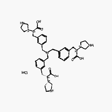 Cl.O=C(O)[C@@H](Cc1cccc(CN(Cc2cccc(C[C@H](C(=O)O)[C@H]3CCNC3)c2)Cc2cccc(C[C@H](C(=O)O)[C@H]3CCNC3)c2)c1)[C@H]1CCNC1